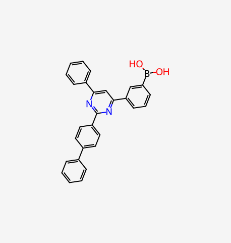 OB(O)c1cccc(-c2cc(-c3ccccc3)nc(-c3ccc(-c4ccccc4)cc3)n2)c1